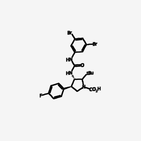 CC(C)(C)C1[C@@H](NC(=O)Nc2cc(Br)cc(Br)c2)[C@H](c2ccc(F)cc2)CN1C(=O)O